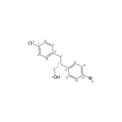 OC[C@H](Cc1ccc(Cl)cc1)c1ccc(Br)cc1